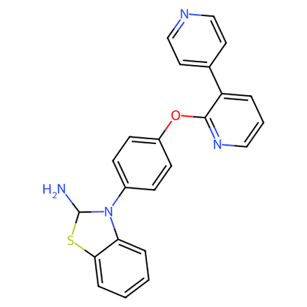 NC1Sc2ccccc2N1c1ccc(Oc2ncccc2-c2ccncc2)cc1